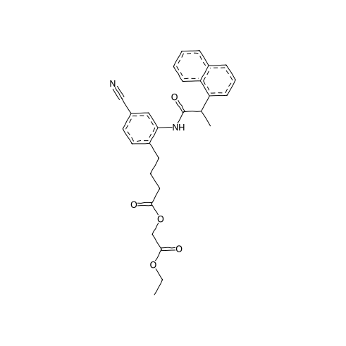 CCOC(=O)COC(=O)CCCc1ccc(C#N)cc1NC(=O)C(C)c1cccc2ccccc12